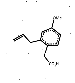 C=CCc1cc(OC)ccc1CC(=O)O